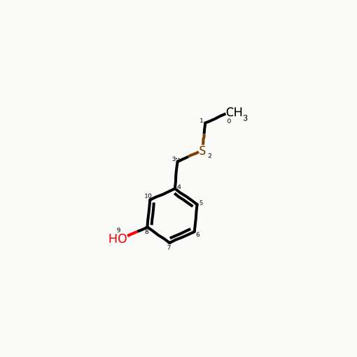 CCS[C]c1cccc(O)c1